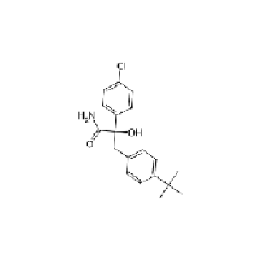 CC(C)(C)c1ccc(C[C@](O)(C(N)=O)c2ccc(Cl)cc2)cc1